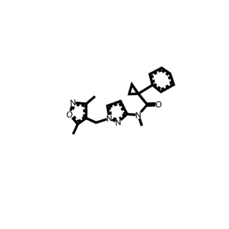 Cc1noc(C)c1Cn1ccc(N(C)C(=O)C2(c3ccccc3)CC2)n1